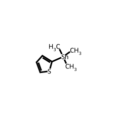 [CH3][Sn]([CH3])([CH3])[c]1cccs1